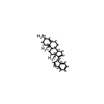 BC1C=C2CCC3C(CC[C@]4(C)C(n5cnc6ccccc65)=CCC34)[C@@]2(C)CC1